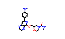 CN(C)C(=O)N1CCOC(COc2nc(-c3ccc(N(C)C)cc3)cc3nccnc23)C1